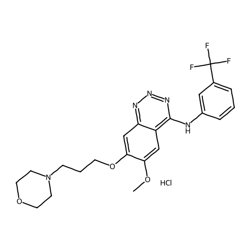 COc1cc2c(Nc3cccc(C(F)(F)F)c3)nnnc2cc1OCCCN1CCOCC1.Cl